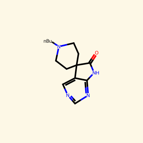 CCCCN1CCC2(CC1)C(=O)Nc1ncncc12